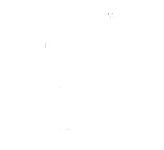 COc1ccc(-c2sc(-c3ccc(C=O)cc3)cc2Br)cc1